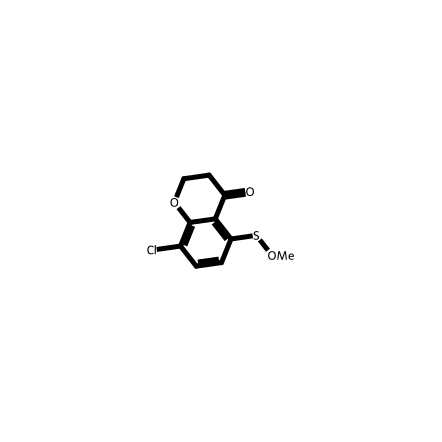 COSc1ccc(Cl)c2c1C(=O)CCO2